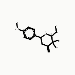 C=C1CC(c2ccc(OC)cc2)OC(CC)C1(C)C